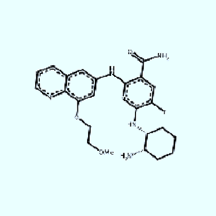 COCCOc1cc(Nc2nc(N[C@@H]3CCCC[C@@H]3N)c(F)cc2C(N)=O)cc2cccnc12